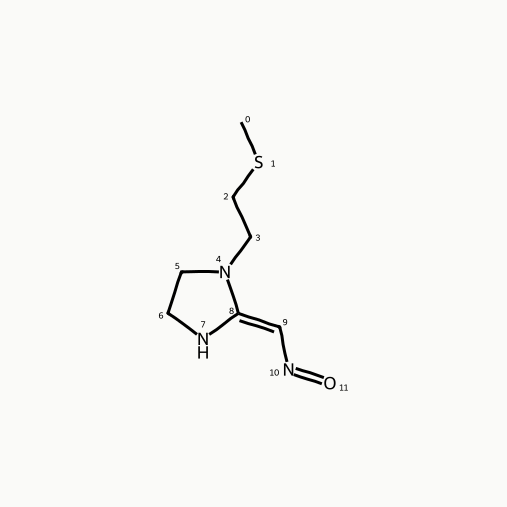 CSCCN1CCNC1=CN=O